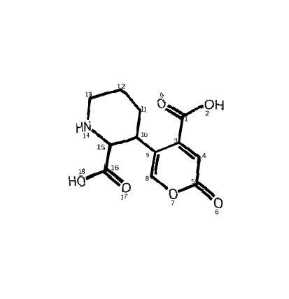 O=C(O)c1cc(=O)occ1C1CCCNC1C(=O)O